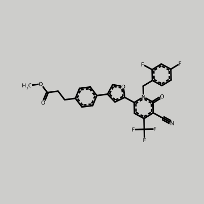 COC(=O)CCc1ccc(-c2coc(-c3cc(C(F)(F)F)c(C#N)c(=O)n3Cc3ccc(F)cc3F)c2)cc1